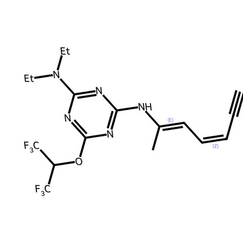 C#C/C=C\C=C(/C)Nc1nc(OC(C(F)(F)F)C(F)(F)F)nc(N(CC)CC)n1